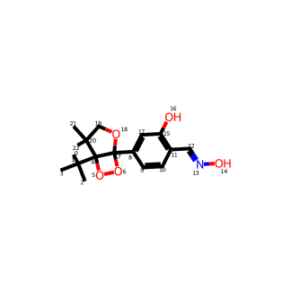 CC(C)(C)C12OOC1(c1ccc(C=NO)c(O)c1)OCC2(C)C